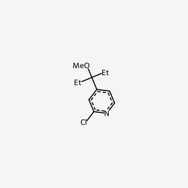 CCC(CC)(OC)c1ccnc(Cl)c1